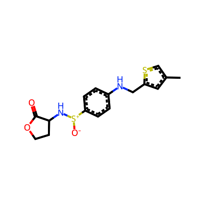 Cc1csc(CNc2ccc([S+]([O-])NC3CCOC3=O)cc2)c1